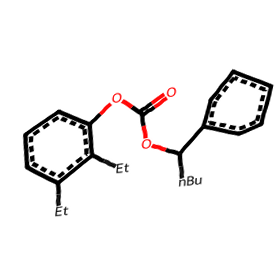 CCCCC(OC(=O)Oc1cccc(CC)c1CC)c1ccccc1